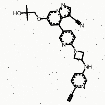 C#Cc1ccc(NC2CN(c3ccc(-c4cc(OCC(C)(C)O)cn5ncc(C#N)c45)cn3)C2)cn1